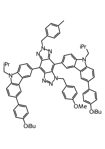 COc1ccc(Cn2nnc3c(-c4ccc5c(c4)c4cc(-c6ccc(OCC(C)C)cc6)ccc4n5CC(C)C)c4nn(Cc5ccc(C)cc5)nc4c(-c4ccc5c(c4)c4cc(-c6ccc(OCC(C)C)cc6)ccc4n5CC(C)C)c32)cc1